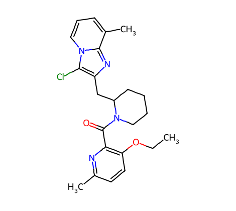 CCOc1ccc(C)nc1C(=O)N1CCCCC1Cc1nc2c(C)cccn2c1Cl